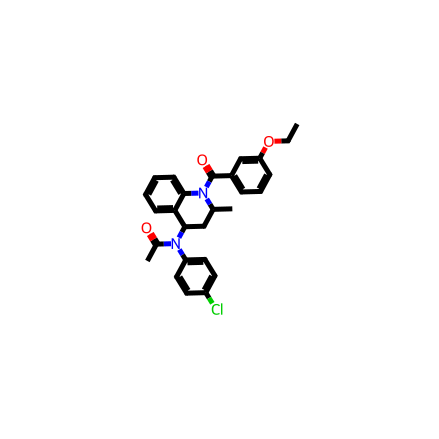 CCOc1cccc(C(=O)N2c3ccccc3C(N(C(C)=O)c3ccc(Cl)cc3)CC2C)c1